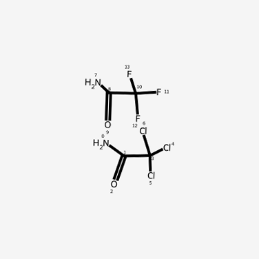 NC(=O)C(Cl)(Cl)Cl.NC(=O)C(F)(F)F